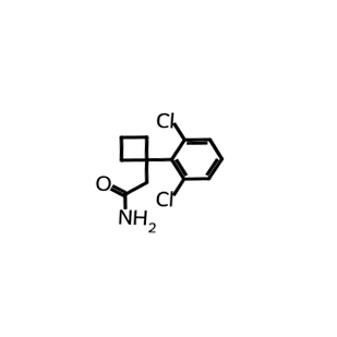 NC(=O)CC1(c2c(Cl)cccc2Cl)CCC1